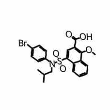 COc1c(C(=O)O)cc(S(=O)(=O)N(CC(C)C)c2ccc(Br)cc2)c2ccccc12